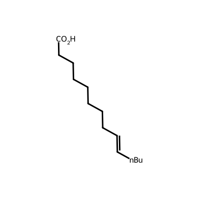 CCCC/C=C/CCCCCCCC(=O)O